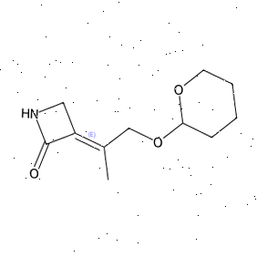 C/C(COC1CCCCO1)=C1/CNC1=O